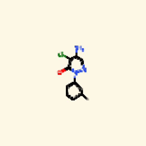 Cc1cccc(-n2ncc(N)c(Cl)c2=O)c1